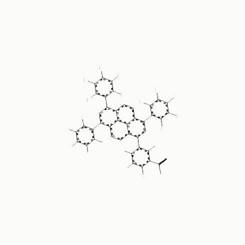 C=C(C)c1c(F)c(F)c(F)c(-c2cc(-c3c(F)c(F)c(F)c(F)c3F)c3ccc4c(-c5c(F)c(F)c(F)c(F)c5F)cc(-c5c(F)c(F)c(F)c(F)c5F)c5ccc2c3c45)c1F